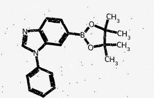 CC1(C)OB(c2ccc3ncn(-c4ccccc4)c3c2)OC1(C)C